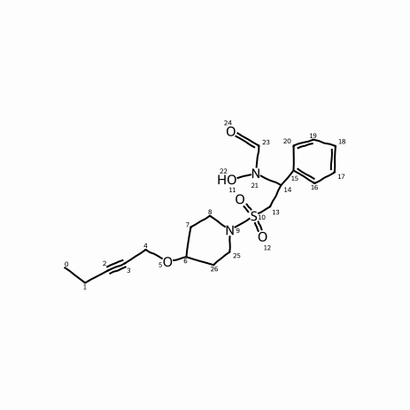 CCC#CCOC1CCN(S(=O)(=O)CC(c2ccccc2)N(O)C=O)CC1